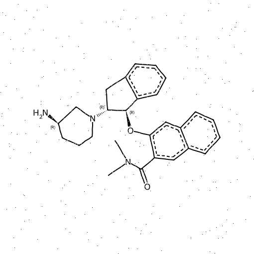 CN(C)C(=O)c1cc2ccccc2cc1O[C@@H]1c2ccccc2C[C@H]1N1CCC[C@@H](N)C1